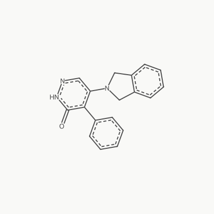 O=c1[nH]ncc(N2Cc3ccccc3C2)c1-c1ccccc1